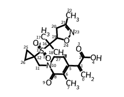 C=C(C(=O)O)C1=C(C)C(=O)N(CC2(S(=O)(=O)C(C)(C)C3CC(C)=NO3)CC2)CC1